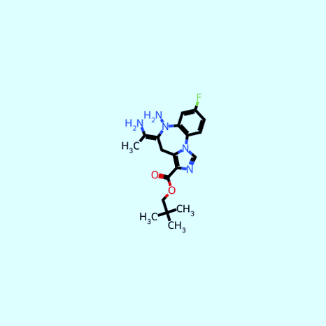 C/C(N)=C1\Cc2c(C(=O)OCC(C)(C)C)ncn2-c2ccc(F)cc2N1N